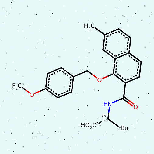 Cc1ccc2ccc(C(=O)N[C@@H](C(=O)O)C(C)(C)C)c(OCc3ccc(OC(F)(F)F)cc3)c2c1